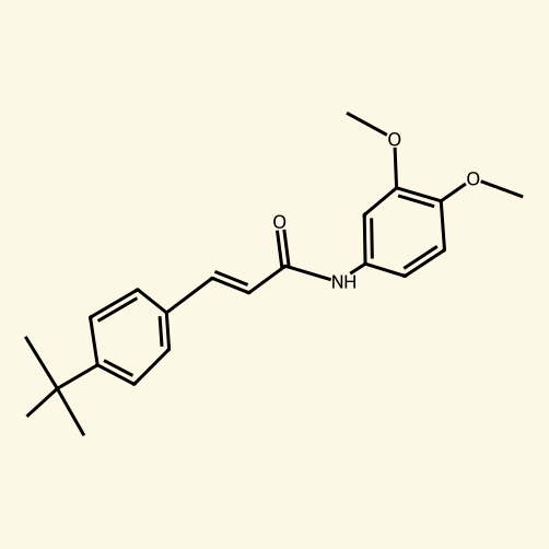 COc1ccc(NC(=O)C=Cc2ccc(C(C)(C)C)cc2)cc1OC